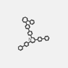 C1=CC(c2ccc(-c3ccccc3)cc2)=CC(c2ccc(-c3ccc(C4=CC=CCC=C4c4ccccc4)cc3)cc2)=NC=1c1ccc(C2=CCCC=C2)cc1